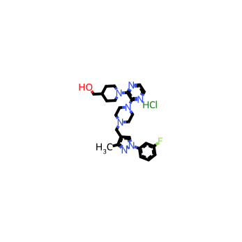 Cc1nn(-c2cccc(F)c2)cc1CN1CCN(c2nccnc2N2CCC(CO)CC2)CC1.Cl